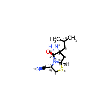 CC(C)C[C@@]1(N)C[C@@H]2SC[C@@H](C#N)N2C1=O